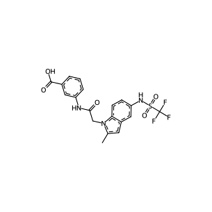 Cc1cc2cc(NS(=O)(=O)C(F)(F)F)ccc2n1CC(=O)Nc1cccc(C(=O)O)c1